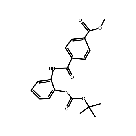 COC(=O)c1ccc(C(=O)Nc2ccccc2NC(=O)OC(C)(C)C)cc1